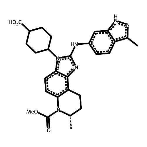 COC(=O)N1c2ccc3c(nc(Nc4ccc5c(C)n[nH]c5c4)n3C3CCC(C(=O)O)CC3)c2CC[C@@H]1C